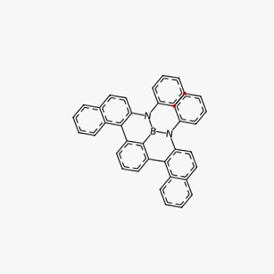 c1ccc(N2B3c4c(cccc4-c4c(ccc5ccccc45)N3c3ccccc3)-c3c2ccc2ccccc32)cc1